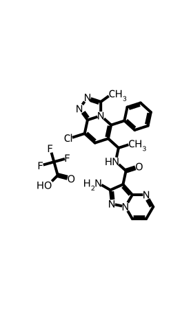 Cc1nnc2c(Cl)cc(C(C)NC(=O)c3c(N)nn4cccnc34)c(-c3ccccc3)n12.O=C(O)C(F)(F)F